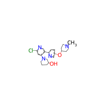 CN1CCC(Oc2ccc(-c3cnc(Cl)cc3N3CCC[C@H](O)C3)nc2)CC1